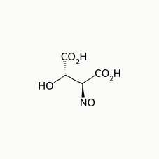 O=N[C@H](C(=O)O)[C@H](O)C(=O)O